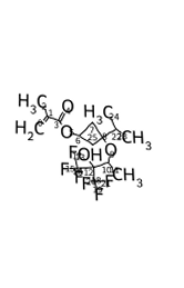 C=C(C)C(=O)OC1CC(OC(C)C(O)(C(F)(F)F)C(F)(F)F)(C(C)C)C1